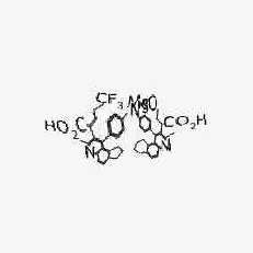 COCCC(C(=O)O)c1c(C)nc2ccc3c(c2c1-c1ccc2ncsc2c1)CCCC3.Cc1ccc(-c2c(C(CCCC(F)(F)F)C(=O)O)c(C)nc3ccc4c(c23)CCC4)cc1